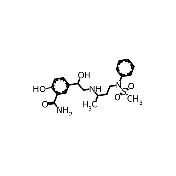 CC(CCN(c1ccccc1)S(C)(=O)=O)NCC(O)c1ccc(O)c(C(N)=O)c1